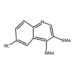 CNc1cnc2ccc(C#N)cc2c1NC